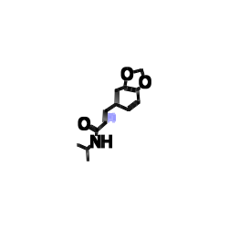 CC(C)NC(=O)/C=C/c1ccc2c(c1)OCO2